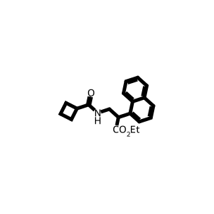 CCOC(=O)C(CNC(=O)C1CCC1)c1cccc2ccccc12